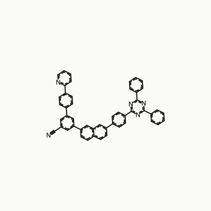 N#Cc1cc(-c2ccc(-c3ccccn3)cc2)cc(-c2ccc3ccc(-c4ccc(-c5nc(-c6ccccc6)nc(-c6ccccc6)n5)cc4)cc3c2)c1